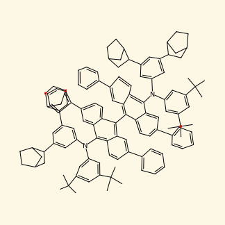 CC(C)(C)c1cc(N(c2cc(C3CC4CCC3C4)cc(C3CC4CCC3C4)c2)c2c3ccc(-c4ccccc4)cc3c(-c3c4cc(-c5ccccc5)ccc4c(N(c4cc(C5CC6CCC5C6)cc(C5CC6CCC5C6)c4)c4cc(C(C)(C)C)cc(C(C)(C)C)c4)c4cc(-c5ccccc5)ccc34)c3ccc(-c4ccccc4)cc23)cc(C(C)(C)C)c1